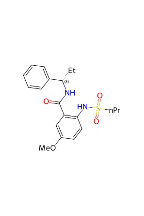 CCCS(=O)(=O)Nc1ccc(OC)cc1C(=O)N[C@@H](CC)c1ccccc1